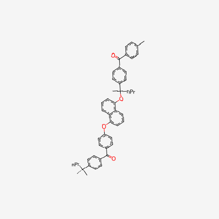 CCCC(C)(C)c1ccc(C(=O)c2ccc(Oc3cccc4c(OC(C)(CCC)c5ccc(C(=O)c6ccc(C)cc6)cc5)cccc34)cc2)cc1